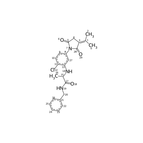 CC(C)=C1CC(=O)N(c2ccc(Cl)c(NC(C)C(=O)NCc3ccccc3)c2)C1=O